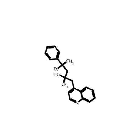 CCC(C)(CC(O)(Cc1ccnc2ccccc12)C(F)(F)F)c1ccccc1